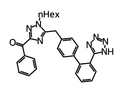 CCCCCCn1nc(C(=O)c2ccccc2)nc1Cc1ccc(-c2ccccc2-c2nnn[nH]2)cc1